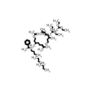 CC(=O)OCCC(C)CCC=C(C)C.CC(C)=CCCC(C)CC=O.CCCC.CCCC.CCCCOC(C)c1ccccc1.CCOC(C)OCC.CCOC(C)OCC